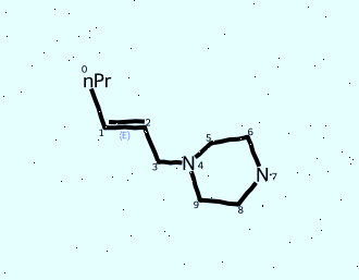 CCC/C=C/CN1CC[N]CC1